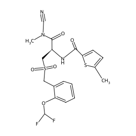 Cc1ccc(C(=O)N[C@@H](CS(=O)(=O)Cc2ccccc2OC(F)F)C(=O)N(C)C#N)s1